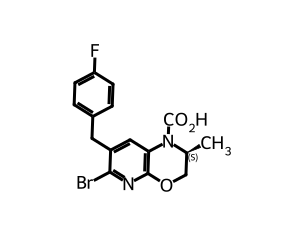 C[C@H]1COc2nc(Br)c(Cc3ccc(F)cc3)cc2N1C(=O)O